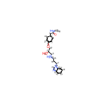 CCCCNC(=O)Cc1ccc(OCC(O)CNCCCn2cnc3ccccc32)cc1